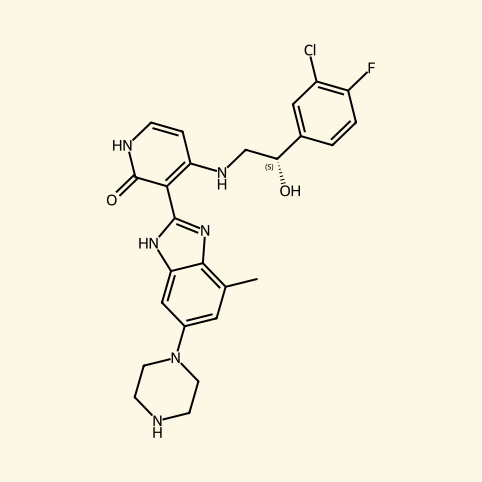 Cc1cc(N2CCNCC2)cc2[nH]c(-c3c(NC[C@@H](O)c4ccc(F)c(Cl)c4)cc[nH]c3=O)nc12